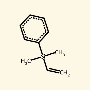 C=C[Si](C)(C)c1cc[c]cc1